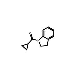 O=C(C1CC1)N1CCc2c[c]ccc21